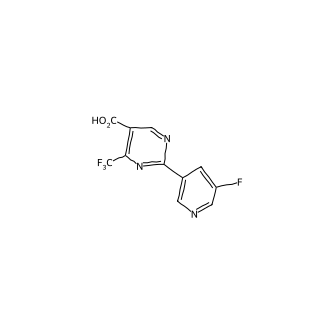 O=C(O)c1cnc(-c2cncc(F)c2)nc1C(F)(F)F